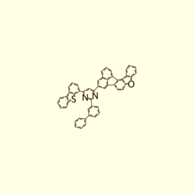 c1ccc(-c2cccc(-c3nc(-c4cc5c6c(cccc6c4)-c4c-5ccc5oc6ccccc6c45)cc(-c4cccc5c4sc4ccccc45)n3)c2)cc1